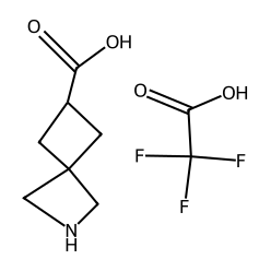 O=C(O)C(F)(F)F.O=C(O)C1CC2(CNC2)C1